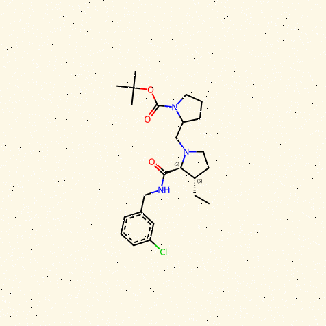 CC[C@H]1CCN(CC2CCCN2C(=O)OC(C)(C)C)[C@@H]1C(=O)NCc1cccc(Cl)c1